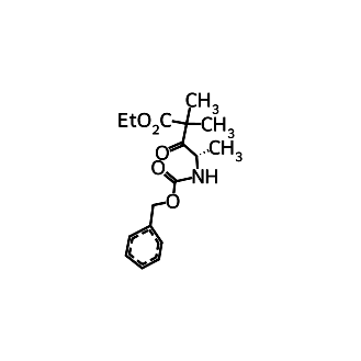 CCOC(=O)C(C)(C)C(=O)[C@H](C)NC(=O)OCc1ccccc1